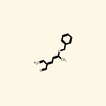 C=C/C(C=O)=C\C=C(/C)OCc1ccccc1